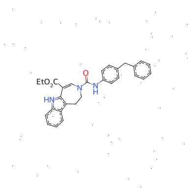 CCOC(=O)C1=CN(C(=O)Nc2ccc(Cc3ccccc3)cc2)CCc2c1[nH]c1ccccc21